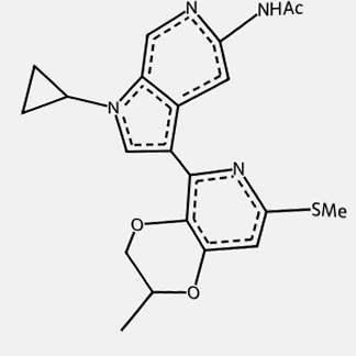 CSc1cc2c(c(-c3cn(C4CC4)c4cnc(NC(C)=O)cc34)n1)OCC(C)O2